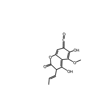 CC=CC1C(=O)Oc2cc(=C=O)c(O)c(OC)c2=C1O